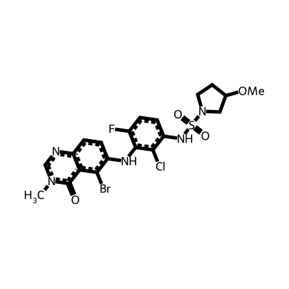 COC1CCN(S(=O)(=O)Nc2ccc(F)c(Nc3ccc4ncn(C)c(=O)c4c3Br)c2Cl)C1